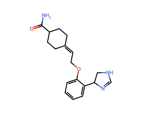 NC(=O)C1CCC(=CCOc2ccccc2C2CNC=N2)CC1